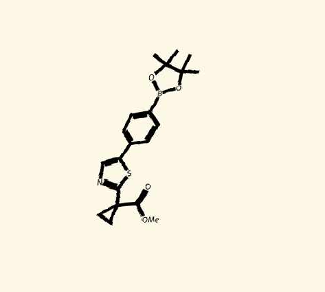 COC(=O)C1(c2ncc(-c3ccc(B4OC(C)(C)C(C)(C)O4)cc3)s2)CC1